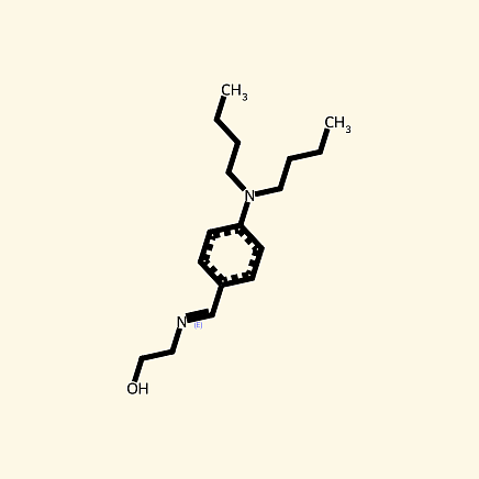 CCCCN(CCCC)c1ccc(/C=N/CCO)cc1